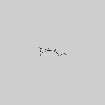 CCC[C]1CC1